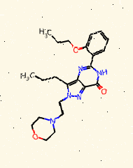 CCCOc1ccccc1-c1nc2c(CCC)n(CCN3CCOCC3)nc2c(=O)[nH]1